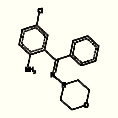 Nc1ccc(Cl)cc1/C(=N/N1CCOCC1)c1ccccc1